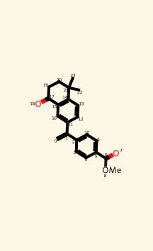 C=C(c1ccc(C(=O)OC)cc1)c1ccc2c(c1)C(=O)CCC2(C)C